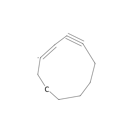 [C]1=C\C#CCCCCCC/1